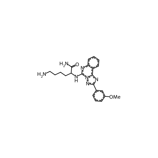 COc1cccc(-c2nc3c4ccccc4nc(NC(CCCCN)C(N)=O)n3n2)c1